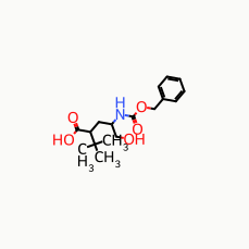 CC(C)(C)C(CC(CO)NC(=O)OCc1ccccc1)C(=O)O